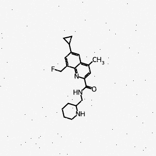 Cc1cc(C(=O)NCC2CCCCN2)nc2c(CF)cc(C3CC3)cc12